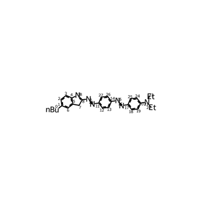 CCCCc1ccc2c(c1)CC(N=Nc1ccc(N=Nc3ccc(N(CC)CC)cc3)cc1)=N2